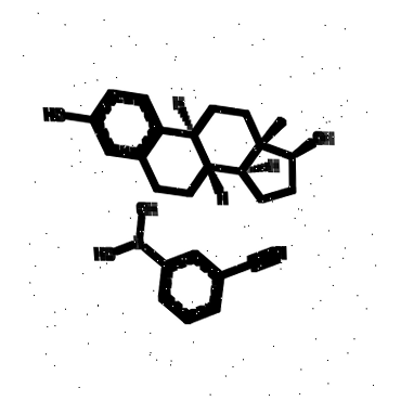 C[C@]12CC[C@@H]3c4ccc(O)cc4CC[C@H]3[C@@H]1CC[C@@H]2O.N#Cc1cccc(B(O)O)c1